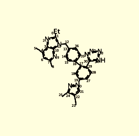 CCc1nc2c(C)cc(C)nc2n1Cc1ccc(-c2cc(-n3cc(C)c(C)n3)ccc2-c2nnn[nH]2)cc1